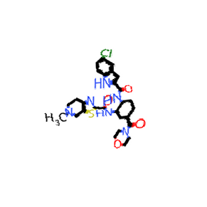 CN1CCc2nc(C(=O)NC3CC(C(=O)N4CCOCC4)CCC3NC(=O)c3cc4cc(Cl)ccc4[nH]3)sc2C1